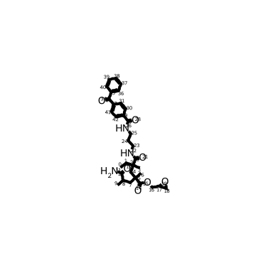 CCC(C)(CC(C)(CC(C)C(N)=O)C(=O)OCC1CO1)C(=O)NCCCNC(=O)c1ccc(C(=O)c2ccccc2)cc1